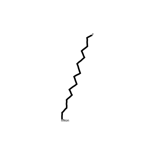 [CH2]CCCCCCCCCCCCCCCCCCCCCF